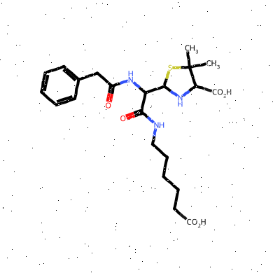 CC1(C)SC(C(NC(=O)Cc2ccccc2)C(=O)NCCCCCC(=O)O)NC1C(=O)O